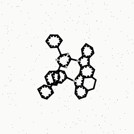 c1ccc(-c2cccc(-n3c4cccc5c4c4c(cc6c7ccccc7n(-c7nc(-c8ccccc8)nc(-c8ccccc8)n7)c6c43)CC5)c2)cc1